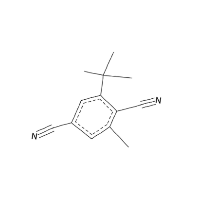 Cc1cc(C#N)cc(C(C)(C)C)c1C#N